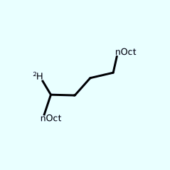 [2H]C(CCCCCCCC)CCCCCCCCCCC